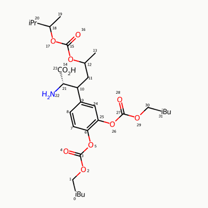 CCC(C)COC(=O)Oc1ccc(C(CC(C)OC(=O)OC(C)C(C)C)[C@H](N)C(=O)O)cc1OC(=O)OCC(C)CC